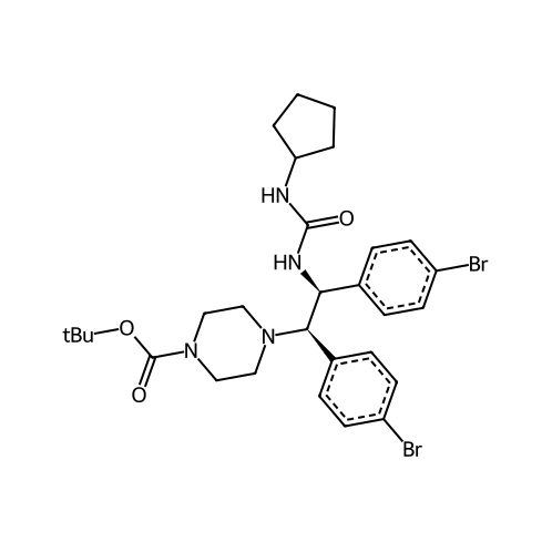 CC(C)(C)OC(=O)N1CCN([C@H](c2ccc(Br)cc2)[C@@H](NC(=O)NC2CCCC2)c2ccc(Br)cc2)CC1